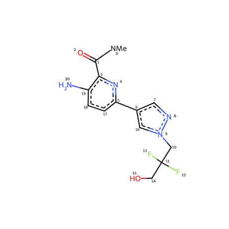 CNC(=O)c1nc(-c2cnn(CC(F)(F)CO)c2)ccc1N